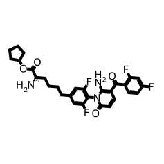 Nc1c(C(=O)c2ccc(F)cc2F)ccc(=O)n1-c1c(F)cc(CCCC[C@H](N)C(=O)OC2CCCC2)cc1F